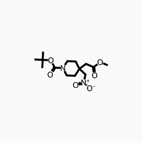 COC(=O)CC1(C[N+](=O)[O-])CCN(C(=O)OC(C)(C)C)CC1